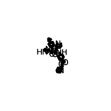 CC(C)(C)c1ccc(N(C(=O)c2c[nH]cn2)C(C(=O)NC2CCN(C(=O)OCc3ccccn3)CC2)c2cccnc2)cc1